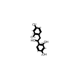 Oc1ccc(C(O)Cc2ccc(Cl)cc2Cl)c(O)c1